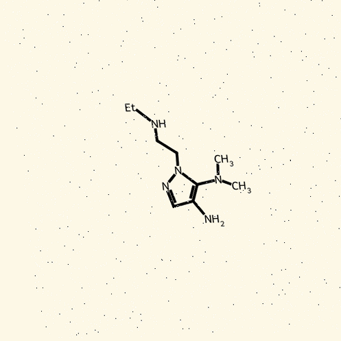 CCNCCn1ncc(N)c1N(C)C